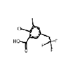 Cc1cc(CC(F)(F)F)cc(C(=O)O)c1Cl